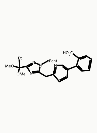 CCCCCn1nc(C(CC)(OC)OC)nc1Cc1ccc(-c2ccccc2C(=O)O)cn1